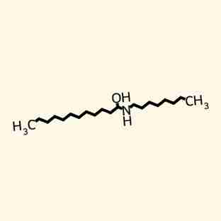 CCCCCCCCCCCC(O)NCCCCCCCC